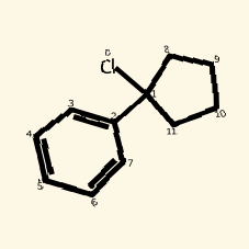 ClC1(c2cc[c]cc2)CCCC1